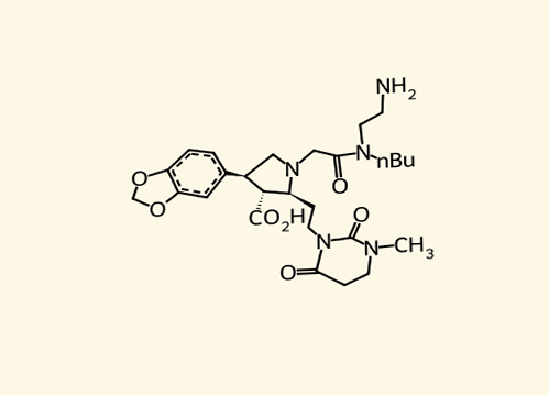 CCCCN(CCN)C(=O)CN1C[C@H](c2ccc3c(c2)OCO3)[C@@H](C(=O)O)[C@@H]1CCN1C(=O)CCN(C)C1=O